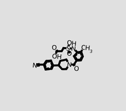 Cc1ccc(C(=O)N2CCC(c3ccc(C#N)cc3)CC2)cc1NS(=O)(=O)CCC(=O)O